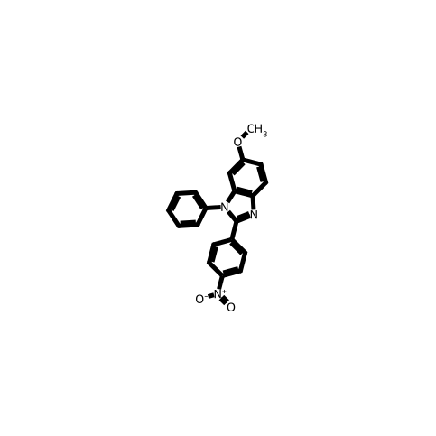 COc1ccc2nc(-c3ccc([N+](=O)[O-])cc3)n(-c3ccccc3)c2c1